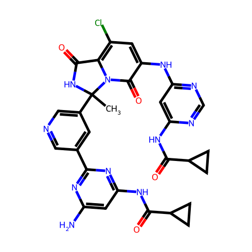 CC1(c2cncc(-c3nc(N)cc(NC(=O)C4CC4)n3)c2)NC(=O)c2c(Cl)cc(Nc3cc(NC(=O)C4CC4)ncn3)c(=O)n21